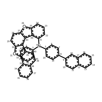 c1ccc(N(c2ccc(-c3ccc4ccccc4c3)cc2)c2cccc3oc4ccc5oc6c7ccccc7ccc6c5c4c23)cc1